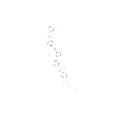 Cc1c(NC(=O)c2ccc(CNCCO)cn2)cccc1-c1ccnc(C=Cc2cc(Cl)c3oc(Cn4ccc(C(=O)O)c4)nc3c2)c1C#N